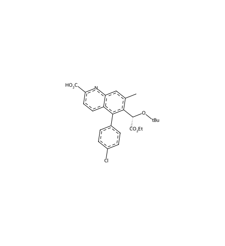 CCOC(=O)[C@@H](OC(C)(C)C)c1c(C)cc2nc(C(=O)O)ccc2c1-c1ccc(Cl)cc1